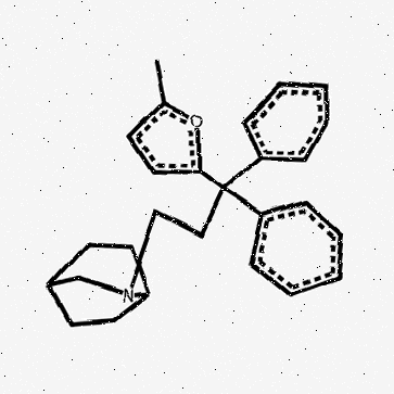 Cc1ccc(C(CCN2CC3CCC2CC3)(c2ccccc2)c2ccccc2)o1